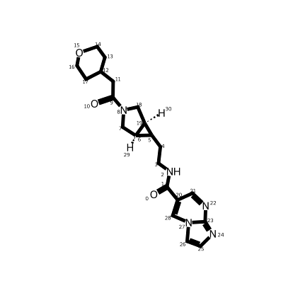 O=C(NCCC1[C@H]2CN(C(=O)CC3CCOCC3)C[C@@H]12)c1cnc2nccn2c1